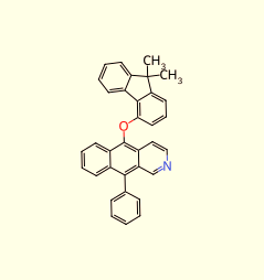 CC1(C)c2ccccc2-c2c(Oc3c4ccccc4c(-c4ccccc4)c4cnccc34)cccc21